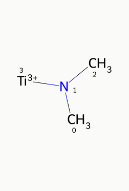 C[N](C)[Ti+3]